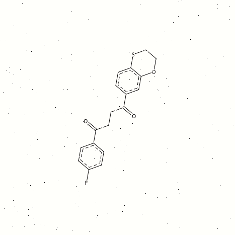 O=C(CCC(=O)c1ccc2c(c1)OCCS2)c1ccc(F)cc1